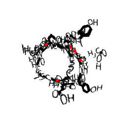 CC(=O)O.C[C@@H]1NC(=O)[C@@H]2CCCN2C(=O)[C@H](CC(N)=O)NC(=O)[C@@H]2CSSC[C@H](N)C(=O)N[C@H]3CSSC[C@H](NC1=O)C(=O)N[C@@H]([C@@H](C)O)C(=O)NCC(=O)N[C@H](C(=O)N[C@@H](Cc1ccc(O)cc1)C(=O)O)CSSC[C@H](NC(=O)[C@H](Cc1ccc(O)cc1)NC(=O)[C@H](CCC(=O)O)NC3=O)C(=O)N2